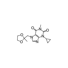 Cn1c(=O)c2c(ncn2CC2(C)OCCO2)n(C2CC2)c1=O